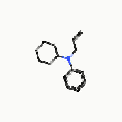 C=CCN(c1ccccc1)C1CCCCC1